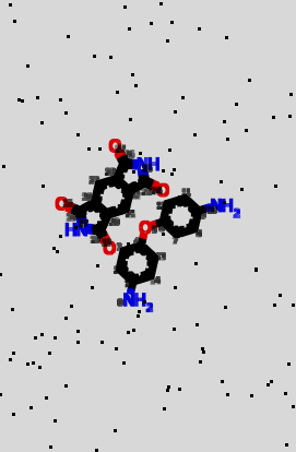 Nc1ccc(Oc2ccc(N)cc2)cc1.O=c1[nH]c(=O)c2cc3c(=O)[nH]c(=O)c3cc12